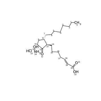 CCCCCCCC[C@H]1CCC(=O)[C@@H]1CCCCC=CC(=O)O.Cl.NO